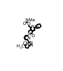 CNC(=O)OCc1nc(N2C3CCC2CC3)cc2c1CN(c1cccc(-c3nnc4n3C(C)(C)CC4)n1)C2=O